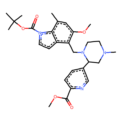 COC(=O)c1ccc(C2CN(C)CCN2Cc2c(OC)cc(C)c3c2ccn3C(=O)OC(C)(C)C)cn1